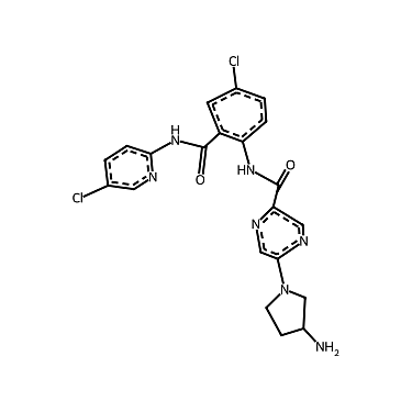 NC1CCN(c2cnc(C(=O)Nc3ccc(Cl)cc3C(=O)Nc3ccc(Cl)cn3)cn2)C1